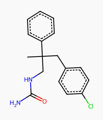 CC(CNC(N)=O)(Cc1ccc(Cl)cc1)c1ccccc1